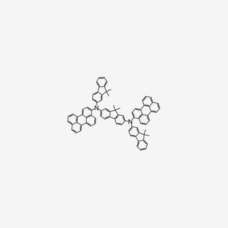 CC1(C)c2ccccc2-c2ccc(N(c3ccc4c(c3)C(C)(C)c3cc(N(c5ccc6c(c5)C(C)(C)c5ccccc5-6)c5ccc6c7cccc8cccc(c9cccc5c96)c87)ccc3-4)c3ccc4c5cccc6cccc(c7cccc3c74)c65)cc21